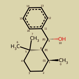 C[C@H]1CCCC(C)(C)[C@@H]1[C@@H](O)c1ccccc1